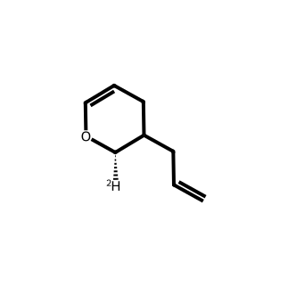 [2H][C@@H]1OC=CCC1CC=C